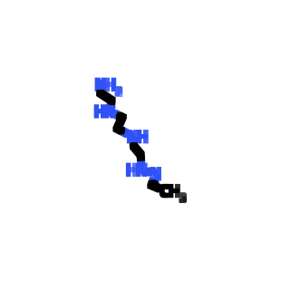 CC=NNCCNCCNCCN